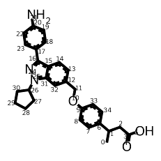 CC(CC(=O)O)c1ccc(OCc2ccc3c(-c4ccc(N)cc4)nn(C4CCCC4)c3c2)cc1